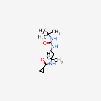 CC(C)(C)NC(=O)NCCC(C)(C)NC(=O)C1CC1